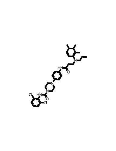 C=CCN(CCC(=O)Nc1ccc(N2CCN(C(=O)Nc3c(Cl)cccc3Cl)CC2)cc1)C1=C(C)C(C)C(C)C=C1